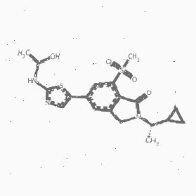 CC(O)Nc1ncc(-c2cc3c(c(S(C)(=O)=O)c2)C(=O)N([C@@H](C)C2CC2)C3)s1